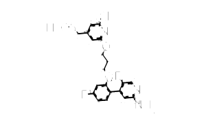 CSCc1cc(Cl)nc(OCCCOc2cc(F)ccc2-c2cc(N)ncc2F)c1